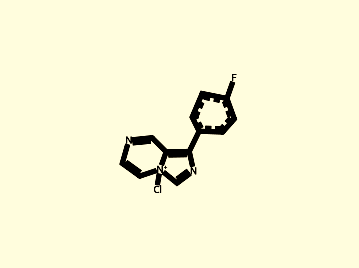 Fc1ccc(C2=C3C=NC=C[N+]3(Cl)C=N2)cc1